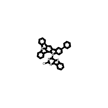 Clc1nc(-n2c3ccc(-c4ccccc4)cc3c3cc4c5ccccc5n5c6ccccc6c(c32)c45)c2sc3ccccc3c2n1